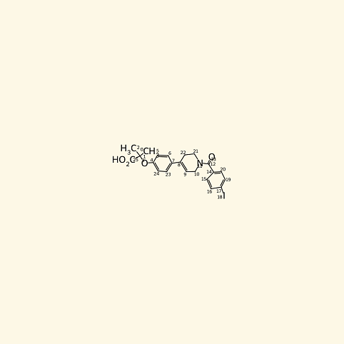 CC(C)(Oc1ccc(C2=CCN(C(=O)c3ccc(I)cc3)CC2)cc1)C(=O)O